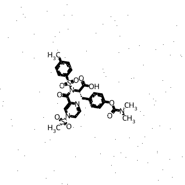 Cc1ccc(S(=O)(=O)N(C(=O)C2=CN(S(C)(=O)=O)CC=N2)[C@@H](Cc2ccc(OC(=O)N(C)C)cc2)C(=O)O)cc1